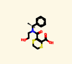 C[C@H](c1ccccc1)N(CCO)C(=O)C1=C(C(=O)O)SCCS1